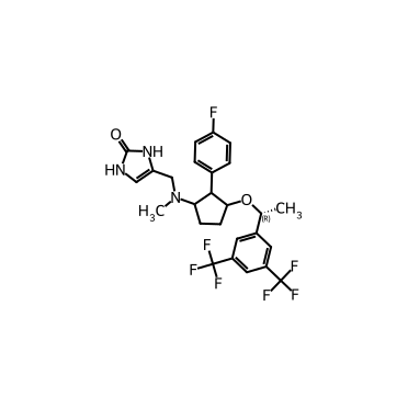 C[C@@H](OC1CCC(N(C)Cc2c[nH]c(=O)[nH]2)C1c1ccc(F)cc1)c1cc(C(F)(F)F)cc(C(F)(F)F)c1